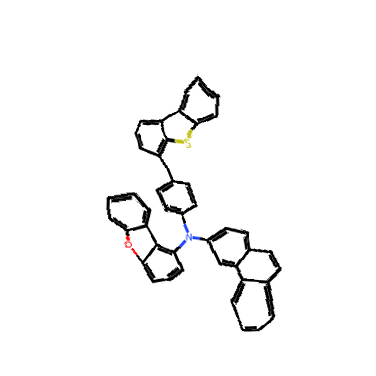 c1ccc2c(c1)ccc1ccc(N(c3ccc(-c4cccc5c4sc4ccccc45)cc3)c3cccc4oc5ccccc5c34)cc12